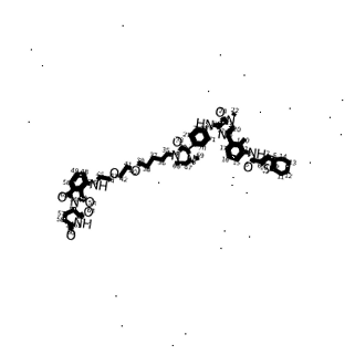 Cc1c(NC(=O)c2cc3c(s2)CCCC3)cccc1-c1cn(C)c(=O)c(Nc2ccc([C@@H]3C(=O)N(CCCCCOCCOCCNc4cccc5c4C(=O)N(C4CCC(=O)NC4=O)C5=O)CCN3C)cc2)n1